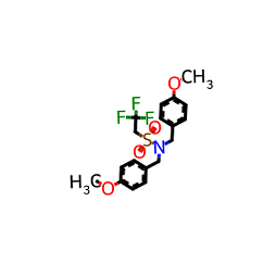 COc1ccc(CN(Cc2ccc(OC)cc2)S(=O)(=O)CC(F)(F)F)cc1